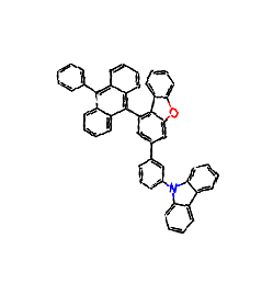 c1ccc(-c2c3ccccc3c(-c3cc(-c4cccc(-n5c6ccccc6c6ccccc65)c4)cc4oc5ccccc5c34)c3ccccc23)cc1